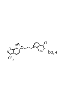 CCCc1c(OCCCn2ccc3c(Cl)c(CC(=O)O)ccc32)ccc2c(C(F)(F)F)noc12